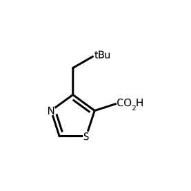 CC(C)(C)Cc1ncsc1C(=O)O